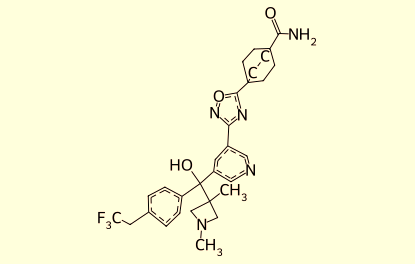 CN1CC(C)(C(O)(c2ccc(CC(F)(F)F)cc2)c2cncc(-c3noc(C45CCC(C(N)=O)(CC4)CC5)n3)c2)C1